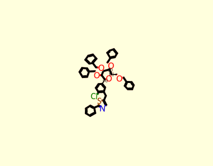 Clc1ccc([C@@H]2O[C@H](COCc3ccccc3)[C@@H](OCc3ccccc3)C(OCc3ccccc3)C2OCc2ccccc2)cc1Cc1cnc(-c2ccccc2)s1